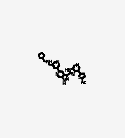 CC(=O)c1ccc(-c2cncc3[nH]c(-c4n[nH]c5cnc(-c6cncc(CNCC7CCCC7)c6)cc45)nc23)s1